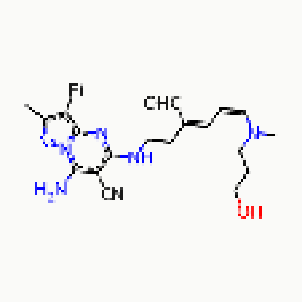 CCc1c(C)nn2c(N)c(C#N)c(NCC/C(C=O)=C/C=C\N(C)CCCO)nc12